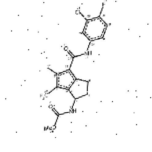 COC(=O)NC1CCc2c1c(C(F)(F)F)n(C)c2C(=O)Nc1ccc(F)c(Cl)c1